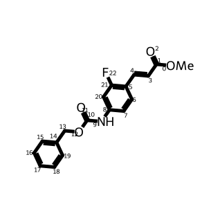 COC(=O)/C=C/c1ccc(NC(=O)OCc2ccccc2)cc1F